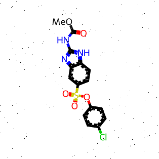 COC(=O)Nc1nc2cc(S(=O)(=O)Oc3ccc(Cl)cc3)ccc2[nH]1